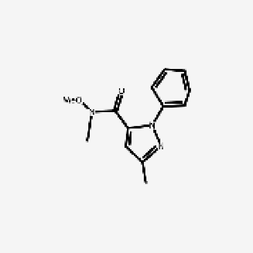 CON(C)C(=O)c1cc(C)nn1-c1ccccc1